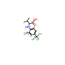 CC(C)C(Nc1c(F)cc(C(F)(F)F)cc1Cl)C(=O)O